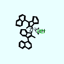 CC1=C(c2cccc3ccccc23)c2ccccc2[CH]1[Zr+2]([CH]1C(C)=C(c2cccc3ccccc23)c2ccccc21)[GeH]([CH3])[CH3].[Cl-].[Cl-]